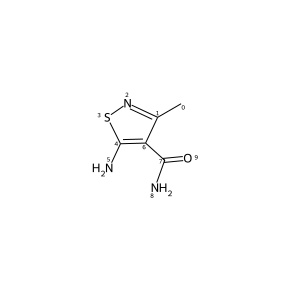 Cc1nsc(N)c1C(N)=O